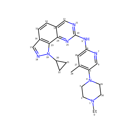 CCN1CCN(c2cnc(Nc3ncc4ccc5cnn(C6CC6)c5c4n3)cc2C)CC1